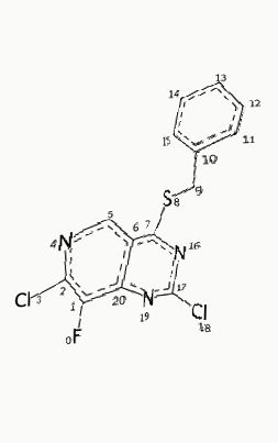 Fc1c(Cl)ncc2c(SCc3ccccc3)nc(Cl)nc12